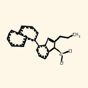 CCCC1=Cc2c(-c3cccc4ccccc34)cccc2[CH]1[Zr]([Cl])[Cl]